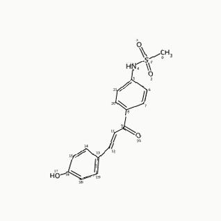 CS(=O)(=O)Nc1ccc(C(=O)/C=C/c2ccc(O)cc2)cc1